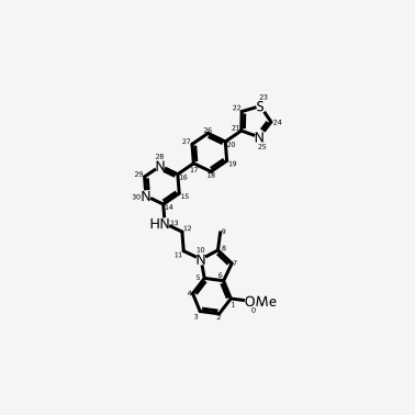 COc1cccc2c1cc(C)n2CCNc1cc(-c2ccc(-c3cscn3)cc2)ncn1